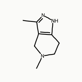 Cc1n[nH]c2c1CN(C)CC2